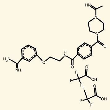 CC(=N)N1CCN(C(=O)c2ccc(C(=O)NCCOc3cccc(C(=N)N)c3)cc2)CC1.O=C(O)C(F)(F)F.O=C(O)C(F)(F)F